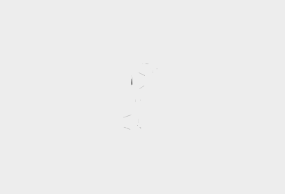 O=S1(=O)C=Cc2ccc(OCc3cccnc3)cc21